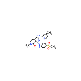 Cc1ccnc(Nc2cc3ccn(C)c(=O)c3c(Nc3ccc(S(C)(=O)=O)cc3)n2)c1